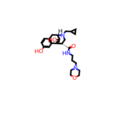 O=C(NCCCN1CCOCC1)[C@@H]1C[C@]23CCN(CC4CC4)[C@H](Cc4ccc(O)cc42)[C@]3(O)C1